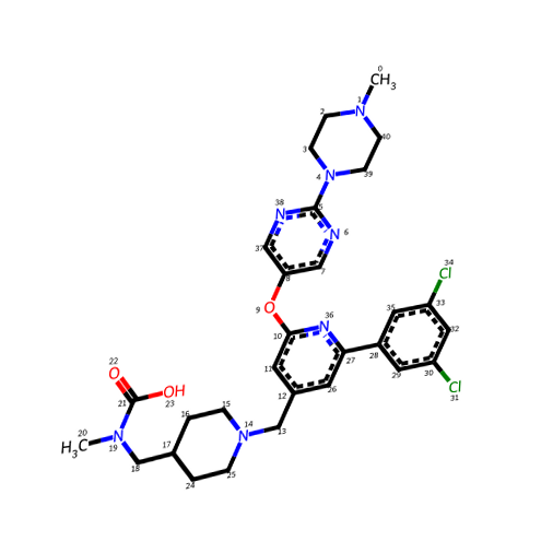 CN1CCN(c2ncc(Oc3cc(CN4CCC(CN(C)C(=O)O)CC4)cc(-c4cc(Cl)cc(Cl)c4)n3)cn2)CC1